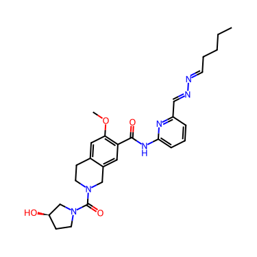 CCCC/C=N/N=C/c1cccc(NC(=O)c2cc3c(cc2OC)CCN(C(=O)N2CC[C@@H](O)C2)C3)n1